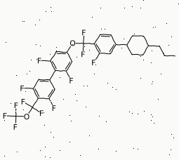 CCCC1CCC(c2ccc(C(F)(F)Oc3cc(F)c(-c4cc(F)c(C(F)(F)OC(F)(F)F)c(F)c4)c(F)c3)c(F)c2)CC1